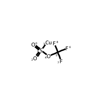 O=[S](=O)([Cu])OC(F)(F)F